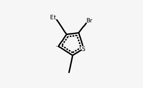 CCc1[c]c(C)sc1Br